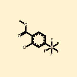 COC(=O)c1ccc(S(F)(F)(F)(F)F)cc1Cl